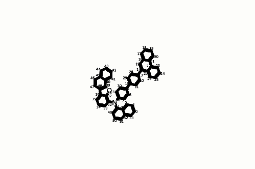 c1ccc2c(N(c3ccc(-c4ccc(-c5cc6ccccc6c6ccccc56)cc4)cc3)c3cccc4c3oc3c5ccccc5ccc43)cccc2c1